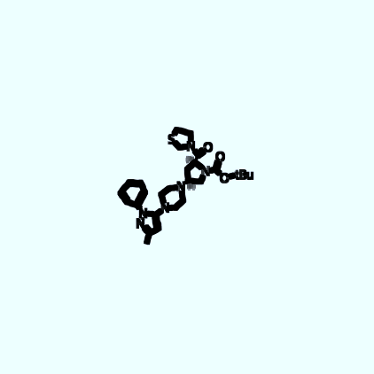 Cc1cc(N2CCN([C@@H]3C[C@H](C(=O)N4CCSC4)N(C(=O)OC(C)(C)C)C3)CC2)n(-c2ccccc2)n1